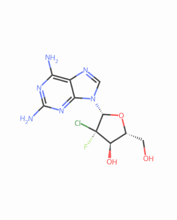 Nc1nc(N)c2ncn([C@@H]3O[C@H](CO)[C@@H](O)[C@@]3(F)Cl)c2n1